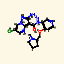 CN1CCCC1COc1ccncc1NC(=O)c1c(N)nn2cc(Cl)cnc12